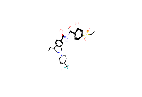 CCC1CN(C2CCC(C(F)(F)F)CC2)Cc2cc(C(=O)N[C@@H](CO)c3ccc(S(=O)(=O)CC)cc3)ccc21